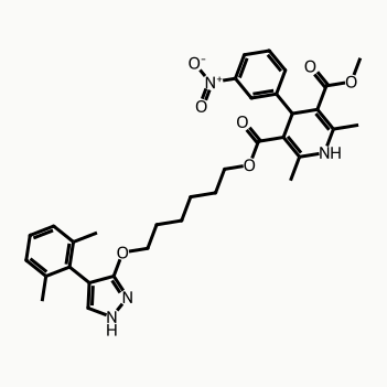 COC(=O)C1=C(C)NC(C)=C(C(=O)OCCCCCCOc2n[nH]cc2-c2c(C)cccc2C)C1c1cccc([N+](=O)[O-])c1